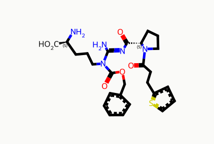 NC(=NC(=O)[C@@H]1CCCN1C(=O)CCc1cccs1)N(CCC[C@H](N)C(=O)O)C(=O)OCc1ccccc1